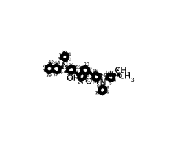 C[SiH](C)c1ccc(N(c2ccccc2)c2ccc(-c3cccc4c(-c5ccc(N(c6ccccc6)c6ccc7ccccc7c6)cc5O)ccc(O)c34)cc2)cc1